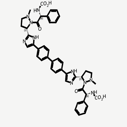 CN1CC[C@@H](c2ncc(-c3ccc(-c4ccc(-c5cnc([C@@H]6CCN(C)N6C(=O)[C@H](NC(=O)O)c6ccccc6)[nH]5)cc4)cc3)[nH]2)N1C(=O)[C@H](NC(=O)O)c1ccccc1